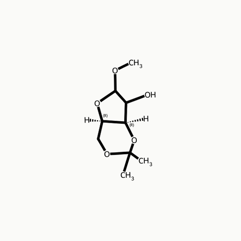 COC1O[C@@H]2COC(C)(C)O[C@@H]2C1O